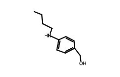 CCCCNc1ccc(CO)cc1